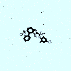 COc1cc(Cl)cc(C)c1NC(=O)c1nc2cccc(-c3ccccc3[N+](=O)[O-])c2n1C